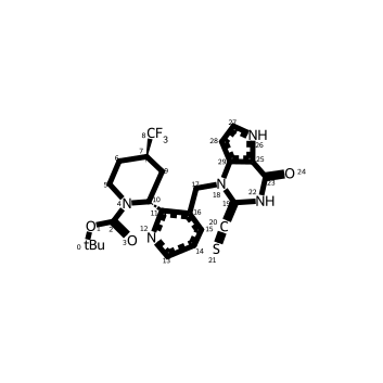 CC(C)(C)OC(=O)N1CC[C@@H](C(F)(F)F)C[C@@H]1c1ncccc1CN1C(=C=S)NC(=O)c2[nH]ccc21